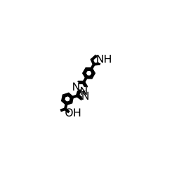 CC(O)c1cccc(-c2cnn3cc(-c4ccc(C5CCNC5)cc4)cnc23)c1